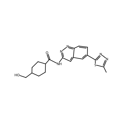 Cc1nnc(-c2ccc3nnc(NC(=O)C4CCC(CO)CC4)cc3c2)s1